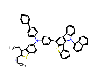 C=Cc1c(/C=C\C)sc2ccc(N(c3ccc(-c4ccccc4)cc3)c3ccc(-c4cc5c6ccccc6n(-c6cccc7ccccc67)c5c5c4sc4ccccc45)cc3)cc12